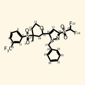 CC1(S(=O)(=O)c2cccc(C(F)(F)F)c2)CCOC(c2cc(S(=O)(=O)C(F)F)nn2Cc2ccccc2)C1